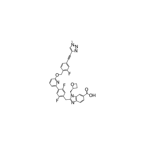 Cn1cc(C#Cc2ccc(COc3cccc(-c4cc(F)c(Cc5nc6ccc(C(=O)O)cc6n5C[C@@H]5CCO5)cc4F)n3)c(F)c2)nn1